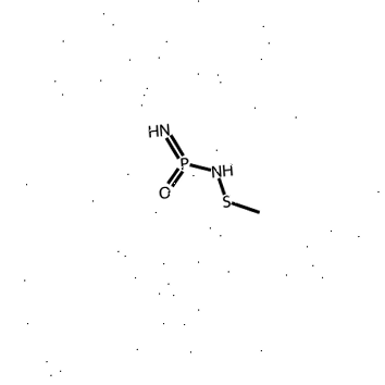 CSNP(=N)=O